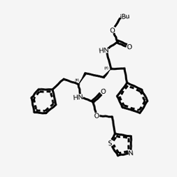 CCC(C)OC(=O)N[C@H](CC[C@H](Cc1ccccc1)NC(=O)OCc1cncs1)Cc1ccccc1